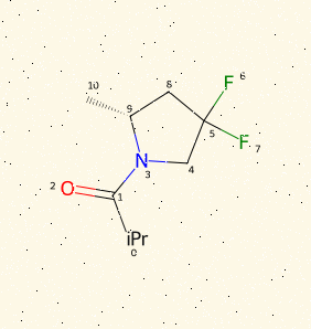 CC(C)C(=O)N1CC(F)(F)C[C@H]1C